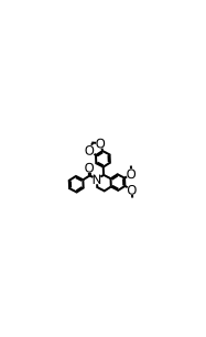 COc1cc2c(cc1OC)C(c1ccc3c(c1)OCO3)N(C(=O)c1ccccc1)CC2